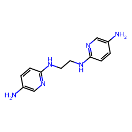 Nc1ccc(NCCNc2ccc(N)cn2)nc1